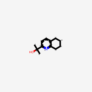 CC(C)(O)c1ccc2c(n1)CCCC2